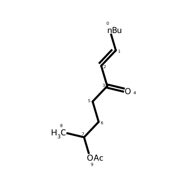 CCCCC=CC(=O)CCC(C)OC(C)=O